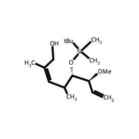 C=C[C@H](OC)[C@@H](O[Si](C)(C)C(C)(C)C)C(C)/C=C(/C)CO